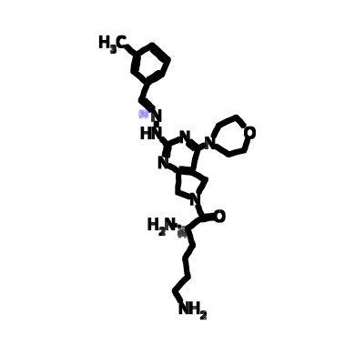 Cc1cccc(/C=N/Nc2nc3c(c(N4CCOCC4)n2)CN(C(=O)[C@@H](N)CCCCN)C3)c1